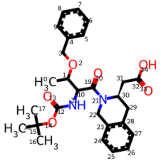 CC(OCc1ccccc1)C(NC(=O)OC(C)(C)C)C(=O)N1Cc2ccccc2C[C@@H]1CC(=O)O